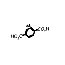 O=C(O)c1ccc(C(=O)O)cc1.[Mn]